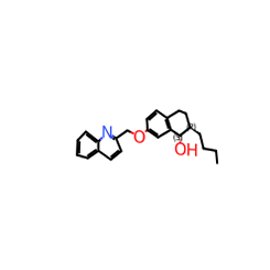 CCCC[C@@H]1CCc2ccc(OCc3ccc4ccccc4n3)cc2[C@H]1O